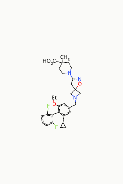 CCOc1cc(CN2CC3(CC(N4CCC(C)(C(=O)O)CC4)=NO3)C2)cc(C2CC2)c1-c1c(F)cccc1F